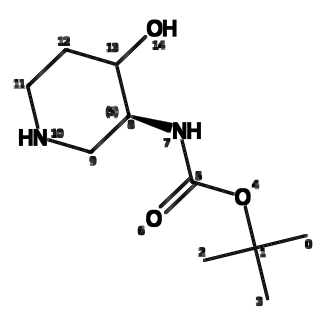 CC(C)(C)OC(=O)N[C@H]1CNCCC1O